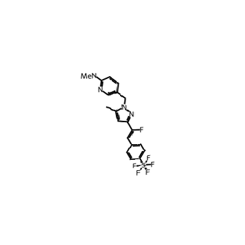 CNc1ccc(Cn2nc(C(F)=Cc3ccc(S(F)(F)(F)(F)F)cc3)cc2C)cn1